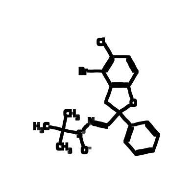 CC(C)(C)[S+]([O-])N=CC1(c2ccccc2)Cc2c(ccc(Cl)c2Br)O1